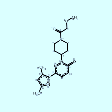 COCC(=O)N1CCC(n2nc(-n3nc(C)cc3C)ccc2=O)CC1